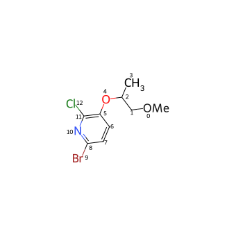 COCC(C)Oc1ccc(Br)nc1Cl